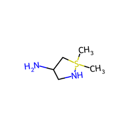 CS1(C)CC(N)CN1